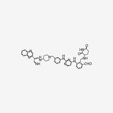 N=C/C(=C\NC1CCN(Cc2cccc(Nc3nccc(Nc4cccc(C=O)c4CNC4CCC(=O)NC4=O)n3)c2)CC1)c1cnc2ccccc2n1